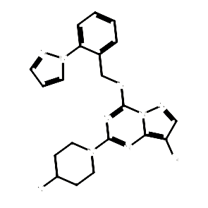 NC1CCN(c2nc(NCc3ccccc3-n3cccn3)n3ncc(Br)c3n2)CC1